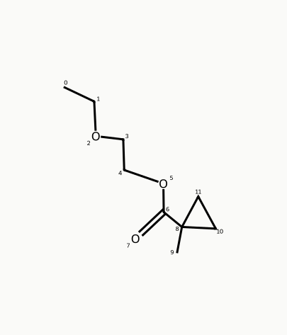 CCOCCOC(=O)C1(C)CC1